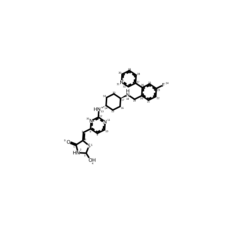 O=C1NC(O)S/C1=C\c1ccnc(N[C@H]2CC[C@H](NCc3ccc(F)cc3-c3cccnc3)CC2)n1